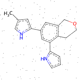 Cc1c[nH]c(-c2cc3c(c(-c4ccc[nH]4)c2)CCOC3)c1